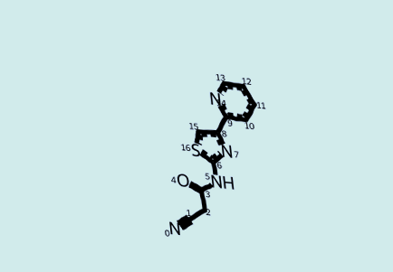 N#CCC(=O)Nc1nc(-c2ccccn2)cs1